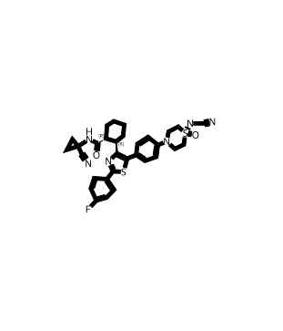 N#CN=S1(=O)CCN(c2ccc(-c3sc(-c4ccc(F)cc4)nc3[C@@H]3CCCC[C@H]3C(=O)NC3(C#N)CC3)cc2)CC1